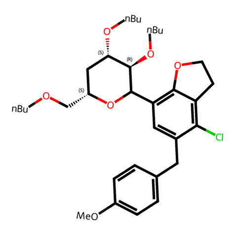 CCCCOC[C@@H]1C[C@H](OCCCC)[C@@H](OCCCC)C(c2cc(Cc3ccc(OC)cc3)c(Cl)c3c2OCC3)O1